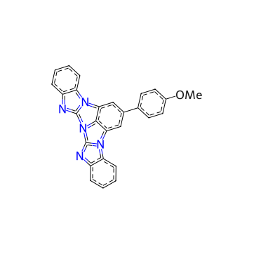 COc1ccc(-c2cc3c4c(c2)n2c5ccccc5nc2n4c2nc4ccccc4n32)cc1